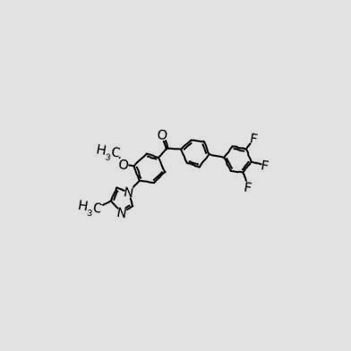 COc1cc(C(=O)c2ccc(-c3cc(F)c(F)c(F)c3)cc2)ccc1-n1cnc(C)c1